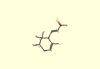 CC(=O)C=CC1C(C)=CCC(C)C1(C)C